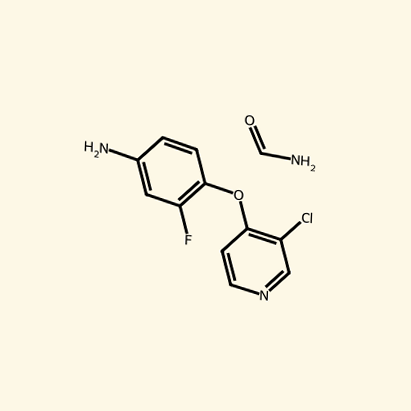 NC=O.Nc1ccc(Oc2ccncc2Cl)c(F)c1